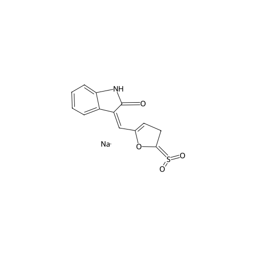 O=C1Nc2ccccc2C1=CC1=CCC(=S(=O)=O)O1.[Na]